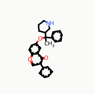 CC(Oc1ccc2occ(-c3ccccc3)c(=O)c2c1)(c1ccccc1)C1CCCNC1